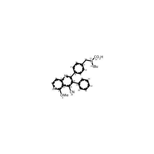 COc1nccc2nc(-c3ccc(CN(C(=O)O)C(C)(C)C)cc3)c(-c3ccccc3)c(C#N)c12